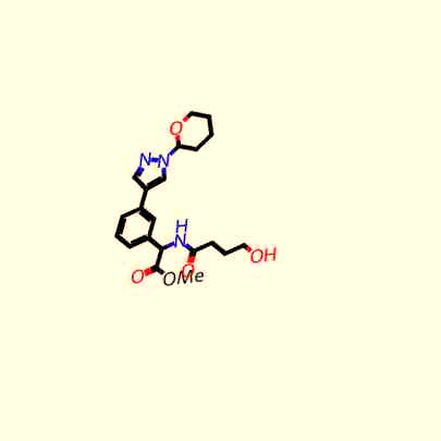 COC(=O)C(NC(=O)CCCO)c1cccc(-c2cnn(C3CCCCO3)c2)c1